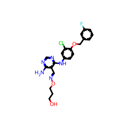 Nc1ncnc(Nc2ccc(OCc3cccc(F)c3)c(Cl)c2)c1C=NOCCCO